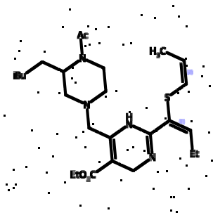 C/C=C\S/C(=C/CC)C1=NCC(C(=O)OCC)=C(CN2CCN(C(C)=O)C(CC(C)CC)C2)N1